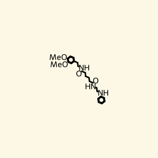 COc1ccc(CCNC(=O)CCCCC(=O)NCCNc2ccccc2)cc1OC